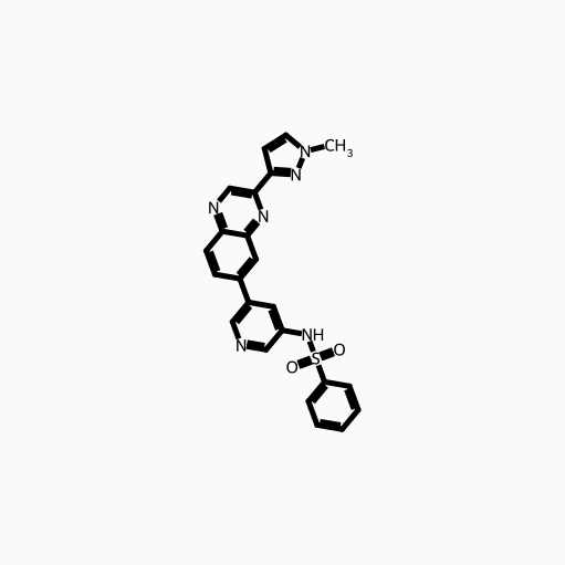 Cn1ccc(-c2cnc3ccc(-c4cncc(NS(=O)(=O)c5ccccc5)c4)cc3n2)n1